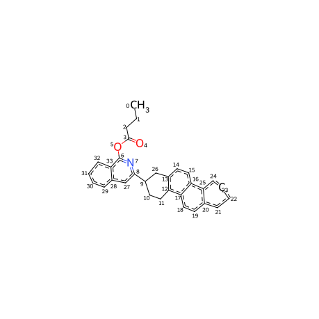 CCCC(=O)Oc1nc(C2CCc3c(ccc4c3ccc3ccccc34)C2)cc2ccccc12